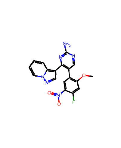 COc1cc(F)c([N+](=O)[O-])cc1-c1cnc(N)nc1-c1cnn2ccccc12